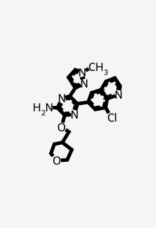 Cn1ccc(-c2nc(N)c(OCC3CCOCC3)nc2-c2cc(Cl)c3ncccc3c2)n1